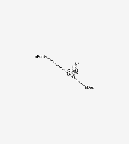 CCCCC/C=C/C/C=C/C/C=C/C/C=C/CCCC(=O)O[C@H](COCCCCCCCCCCCCCCCCCC)COP(=O)(O)OCC[N+](C)(C)C